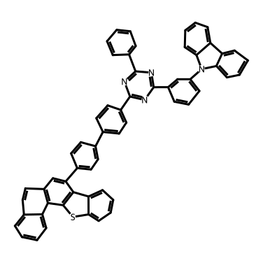 c1ccc(-c2nc(-c3ccc(-c4ccc(-c5cc6ccc7ccccc7c6c6sc7ccccc7c56)cc4)cc3)nc(-c3cccc(-n4c5ccccc5c5ccccc54)c3)n2)cc1